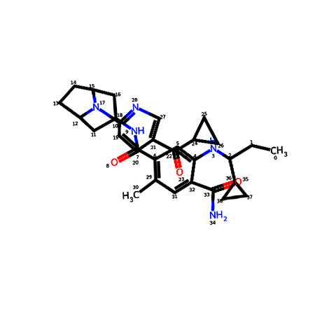 CCC(Nc1cc(C(=O)NC2CC3CCC(C2)N3c2ccc(C(=O)C3CC3)cn2)c(C)cc1C(N)=O)C1CC1